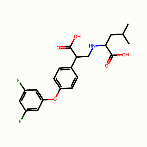 CC(C)CC(NCC(C(=O)O)c1ccc(Oc2cc(F)cc(F)c2)cc1)C(=O)O